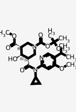 COC(=O)[C@@H]1CN(C(=O)OC(C)(C)C)C[C@H](C(=O)N(c2cc(OC)c(C(C)C)cn2)C2CC2)[C@@H]1O